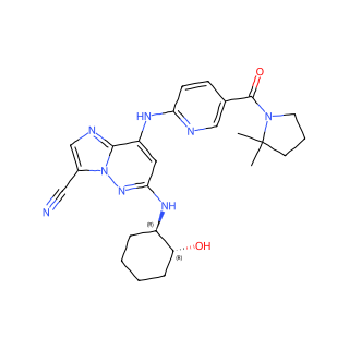 CC1(C)CCCN1C(=O)c1ccc(Nc2cc(N[C@@H]3CCCC[C@H]3O)nn3c(C#N)cnc23)nc1